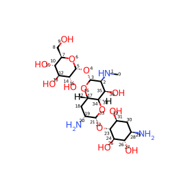 CN[C@@H]1[C@@H](O[C@H]2O[C@H](CO)[C@@H](O)[C@H](O)[C@H]2O)O[C@H]2C[C@@H](N)[C@@H](O[C@H]3[C@H](O)[C@@H](O)[C@H](N)C[C@@H]3O)O[C@@H]2[C@@H]1O